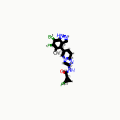 Cc1c(F)c(Br)c2[nH]ncc2c1-c1ccc2nc(NC(=O)C3CC3F)cn2c1